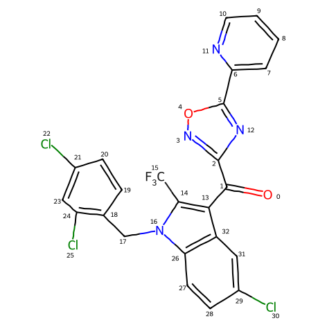 O=C(c1noc(-c2ccccn2)n1)c1c(C(F)(F)F)n(Cc2ccc(Cl)cc2Cl)c2ccc(Cl)cc12